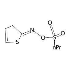 CCCS(=O)(=O)ON=C1CC=CS1